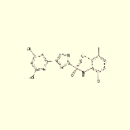 COc1cc(Cl)nc(-n2cnc(S(=O)(=O)Nc3c(Cl)ccc(C)c3Cl)n2)n1